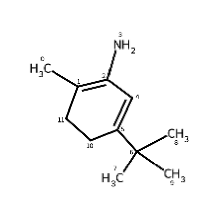 CC1=C(N)C=C(C(C)(C)C)CC1